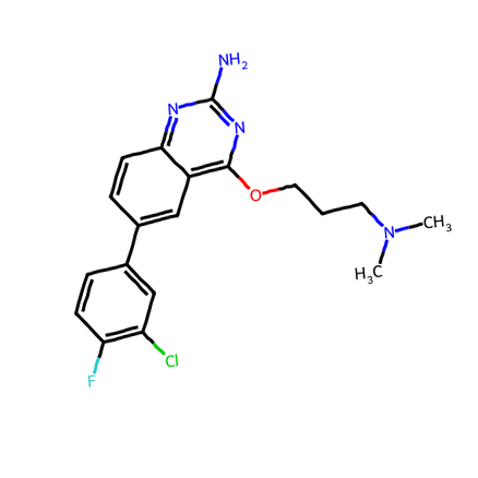 CN(C)CCCOc1nc(N)nc2ccc(-c3ccc(F)c(Cl)c3)cc12